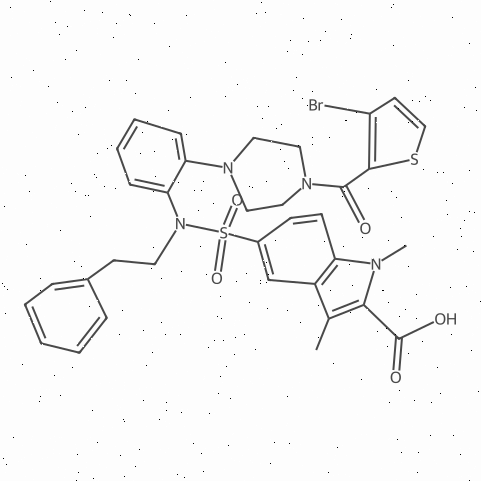 Cc1c(C(=O)O)n(C)c2ccc(S(=O)(=O)N(CCc3ccccc3)c3ccccc3N3CCN(C(=O)c4sccc4Br)CC3)cc12